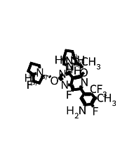 Cc1c(F)c(N)cc(-c2nc3c4c(nc(OC[C@@H]5C[C@H](F)[C@H]6CCCN56)nc4c2F)N2C[C@H]4CC[C@H](N4)[C@H]2[C@H](C)O3)c1C(F)(F)F